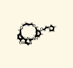 COc1ccc2cc1-c1ccnc(n1)NC1=CCC(OCCN3CCCC3)C(=C1)COC/C=C/COC2